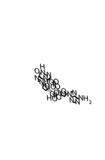 Nc1ncnc2c1ncn2[C@H]1C[C@H](OP(=O)(O)OC[C@@H]2CC[C@H](n3cnc4c(=O)[nH]c5nccn5c43)O2)[C@@H](COP(=O)(O)O)O1